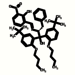 CCCCOc1ccc(C(C)(C)C)cc1C(O)(c1cc(C(C)(C)C)ccc1OCCCC)[C@@H](Cc1ccccc1)N=Cc1cccc([N+](=O)[O-])c1O